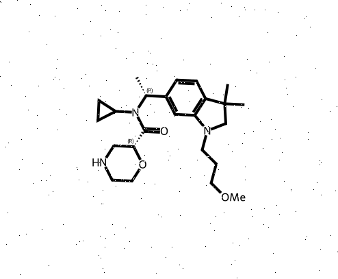 COCCCN1CC(C)(C)c2ccc([C@@H](C)N(C(=O)[C@H]3CNCCO3)C3CC3)cc21